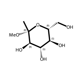 CO[C@]1(C)O[C@H](CO)[C@@H](O)[C@H](O)[C@H]1O